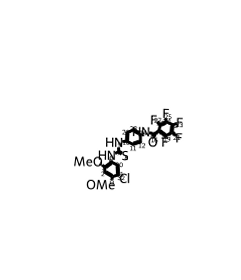 COc1cc(OC)c(NC(=S)Nc2ccc(NC(=O)c3c(F)c(F)c(F)c(F)c3F)cc2)cc1Cl